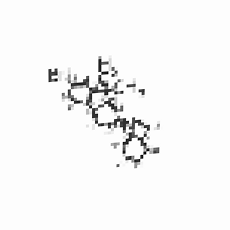 CC1(C)c2cc(Br)ccc2-c2ccc(-n3ccc4ccccc43)cc21